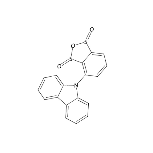 O=S1OS(=O)c2c(-n3c4ccccc4c4ccccc43)cccc21